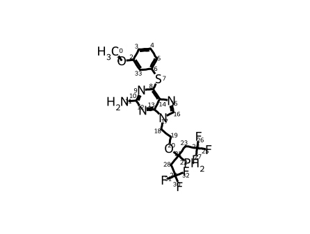 COc1cccc(Sc2nc(N)nc3c2ncn3CCOC(P)(CC(F)(F)F)CC(F)(F)F)c1